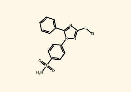 CCSc1nc(-c2ccccc2)n(-c2ccc(S(N)(=O)=O)cc2)n1